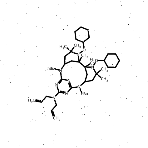 C=CCN(CC=C)c1nc2nc(n1)N(CCCC)C1CC(C)(C)N(OC3CCCCC3)C(C)(C1)C1(C)CC(CC(C)(C)N1OC1CCCCC1)N2CCCC